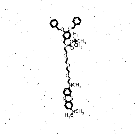 CN(CCOCCOCCOCCN(Cc1ccc(OCc2ccccc2)c(OCc2ccccc2)c1)C(=O)OC(C)(C)C)c1ccc2nc3ccc(=[N+](C)C)cc-3sc2c1